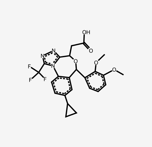 COc1cccc(C2OC(CC(=O)O)c3nnc(C(F)(F)F)n3-c3ccc(C4CC4)cc32)c1OC